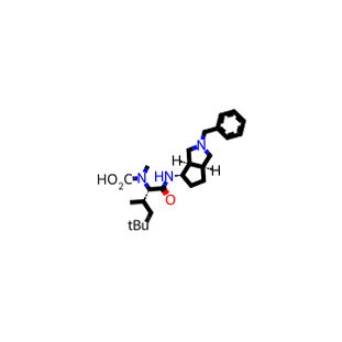 CC(CC(C)(C)C)[C@@H](C(=O)N[C@H]1CC[C@@H]2CN(Cc3ccccc3)C[C@@H]21)N(C)C(=O)O